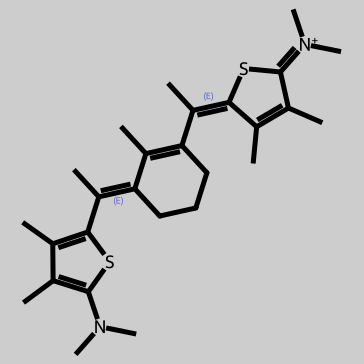 CC1=C(C)/C(=C(/C)C2=C(C)/C(=C(\C)c3sc(N(C)C)c(C)c3C)CCC2)SC1=[N+](C)C